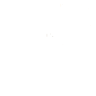 [CH2]c1c(Br)cc(C(=O)NCCc2ccc(-c3ccccc3)cc2)cc1Br